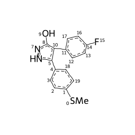 CSc1ccc(-c2[nH]nc(O)c2-c2ccc(F)cc2)cc1